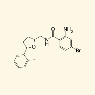 Cc1ccccc1C1CCC(CNC(=O)c2ccc(Br)cc2N)O1